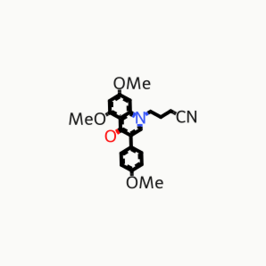 COc1ccc(-c2cn(CCCC#N)c3cc(OC)cc(OC)c3c2=O)cc1